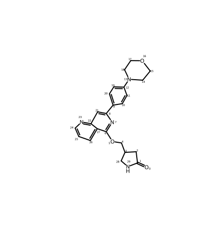 O=C1CC(COc2nc(-c3ccc(N4CCOCC4)cc3)cc3ncccc23)CN1